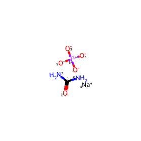 NC(N)=O.[Na+].[O-][I+3]([O-])([O-])[O-]